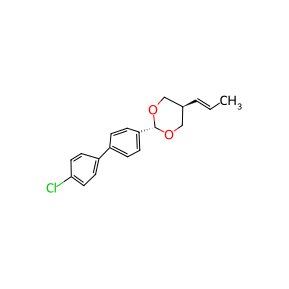 CC=C[C@H]1CO[C@H](c2ccc(-c3ccc(Cl)cc3)cc2)OC1